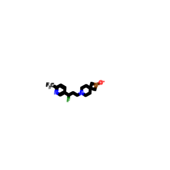 [O-][S+]1CC2(CCN(CCC(F)c3ccc(C(F)(F)F)nc3)CC2)C1